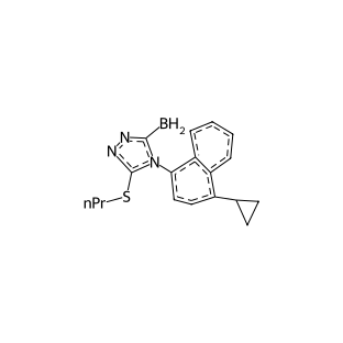 Bc1nnc(SCCC)n1-c1ccc(C2CC2)c2ccccc12